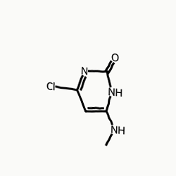 CNc1cc(Cl)nc(=O)[nH]1